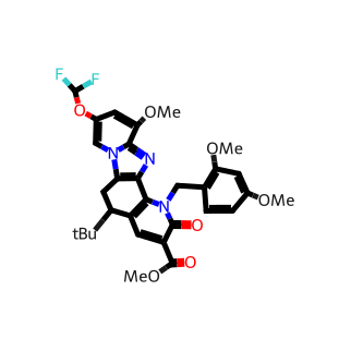 COC(=O)c1cc2c(n(Cc3ccc(OC)cc3OC)c1=O)-c1nc3c(OC)cc(OC(F)F)cn3c1CC2C(C)(C)C